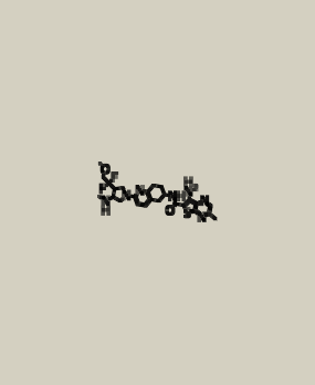 CNC1CN(c2ccc3c(n2)CCC(NC(=O)c2sc4nc(C)cnc4c2N)C3)CC1C(F)(F)COC